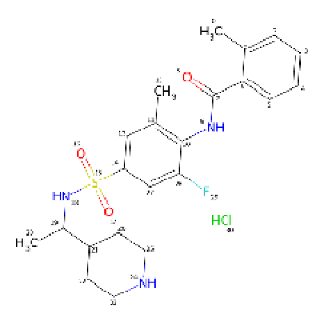 Cc1ccccc1C(=O)Nc1c(C)cc(S(=O)(=O)NC(C)C2CCNCC2)cc1F.Cl